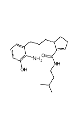 CC(C)CCNC(=O)C1=CCCC1CCCc1cccc(O)c1N